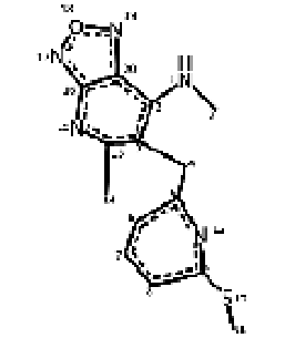 CNc1c(Cc2cccc(SC)n2)c(C)nc2nonc12